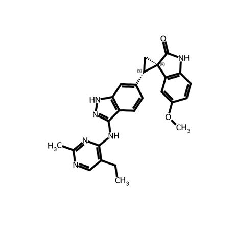 CCc1cnc(C)nc1Nc1n[nH]c2cc([C@@H]3C[C@@]34C(=O)Nc3ccc(OC)cc34)ccc12